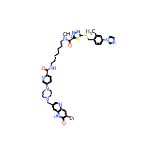 CCc1cc2ncc(CN3CCN(c4ccc(C(=O)NCCCCCCCN(C)C(=O)c5nnc(SCc6ccc(-n7ccnc7)cc6C)s5)nc4)CC3)cc2[nH]c1=O